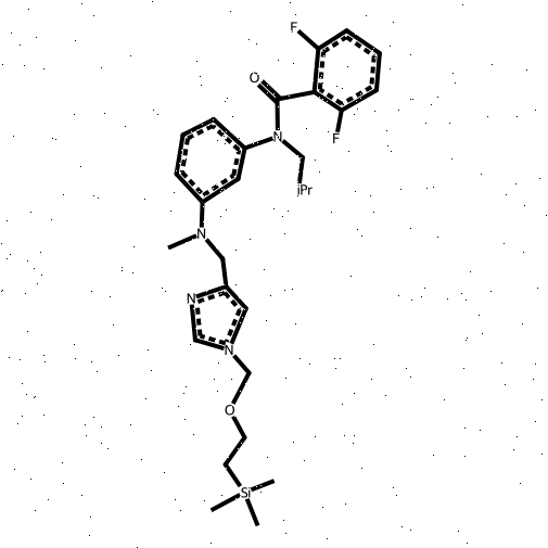 CC(C)CN(C(=O)c1c(F)cccc1F)c1cccc(N(C)Cc2cn(COCC[Si](C)(C)C)cn2)c1